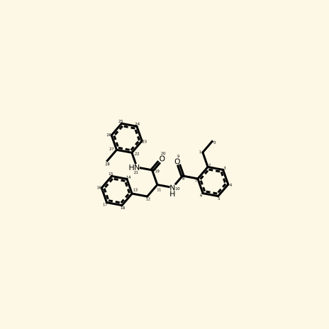 CCc1ccccc1C(=O)NC(Cc1ccccc1)C(=O)Nc1ccccc1C